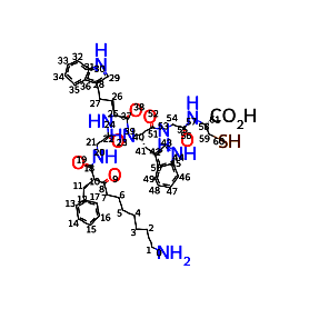 NCCCCCCCC(=O)[C@@H](Cc1ccccc1)C(=O)NCC(=O)N[C@@H](CCc1c[nH]c2ccccc12)C(=O)N[C@@H](Cc1c[nH]c2ccccc12)C(=O)NCC(=O)N[C@@H](CS)C(=O)O